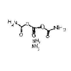 N.N.NC(=O)OC(=O)OC(N)=O